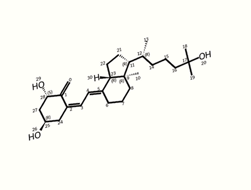 C=C1C(=CC=C2CCC[C@]3(C)[C@@H]([C@H](C)CCCC(C)(C)O)CC[C@@H]23)C[C@@H](O)C[C@@H]1O